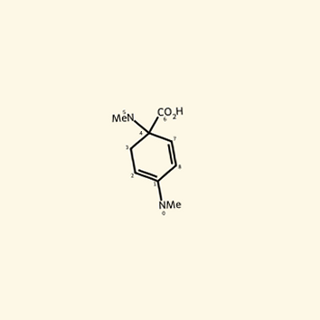 CNC1=CCC(NC)(C(=O)O)C=C1